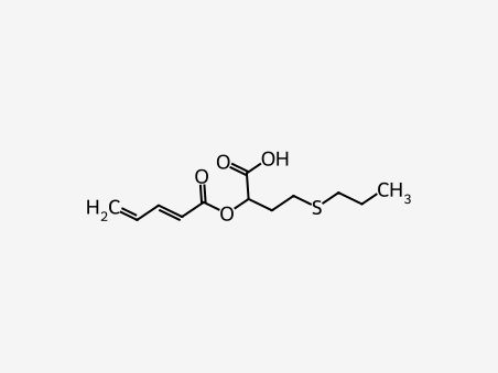 C=C/C=C/C(=O)OC(CCSCCC)C(=O)O